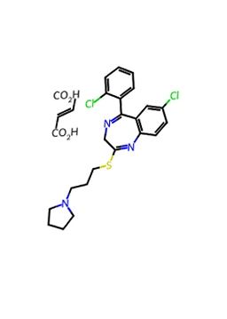 Clc1ccc2c(c1)C(c1ccccc1Cl)=NCC(SCCCN1CCCC1)=N2.O=C(O)C=CC(=O)O